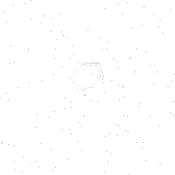 [O].c1ccnnc1